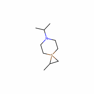 CC(C)N1CCS2(CC1)CC2C